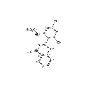 CCOC(=O)Nc1cc(O)cc(O)c1-c1cc(=O)c2nccnc2o1